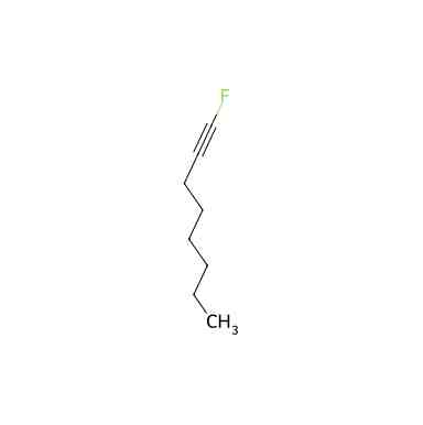 CCCCCCC#CF